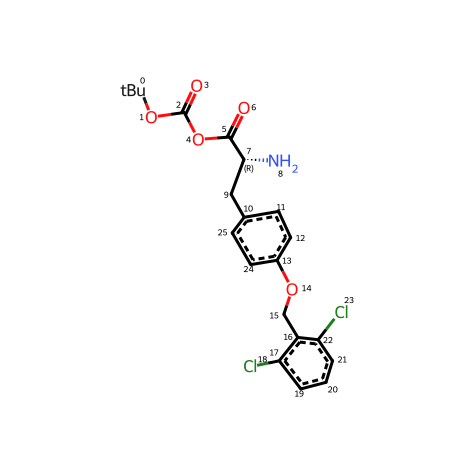 CC(C)(C)OC(=O)OC(=O)[C@H](N)Cc1ccc(OCc2c(Cl)cccc2Cl)cc1